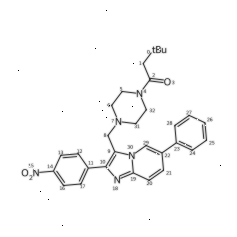 CC(C)(C)CC(=O)N1CCN(Cc2c(-c3ccc([N+](=O)[O-])cc3)nc3ccc(-c4ccccc4)cn23)CC1